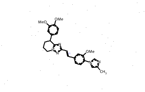 COc1ccc(C2CCCn3nc(/C=C/c4ccc(-n5cnc(C)c5)c(OC)c4)nc32)cc1OC